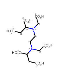 O=C(O)CC(C(=O)O)N(CCN(CC(=O)O)C(CC(=O)O)C(=O)O)CC(=O)O